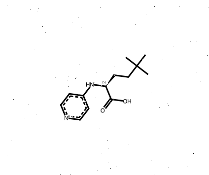 CC(C)(C)CC[C@H](Nc1ccncc1)C(=O)O